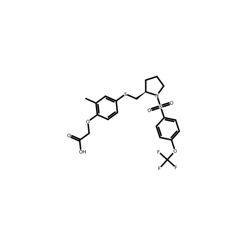 Cc1cc(SC[C@H]2CCCN2S(=O)(=O)c2ccc(OC(F)(F)F)cc2)ccc1OCC(=O)O